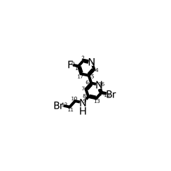 Fc1cncc(-c2cc(NCCBr)cc(Br)n2)c1